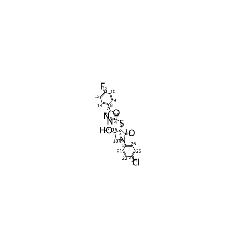 O=C1C(Sc2nnc(-c3ccc(F)cc3)o2)C(O)CN1c1ccc(Cl)cc1